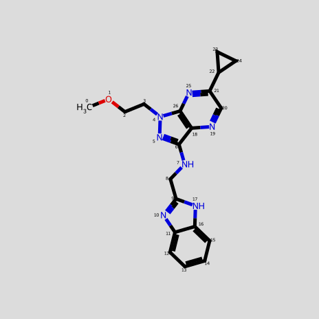 COCCn1nc(NCc2nc3ccccc3[nH]2)c2ncc(C3CC3)nc21